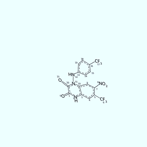 O=c1[nH]c2cc(C(F)(F)F)c([N+](=O)[O-])cc2n(Nc2ccc(C(F)(F)F)cc2)c1=O